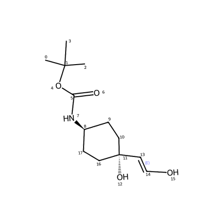 CC(C)(C)OC(=O)N[C@H]1CC[C@@](O)(/C=C/O)CC1